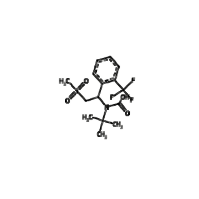 CC(C)(C)N(C(=O)O)C(CS(C)(=O)=O)c1ccccc1C(F)(F)F